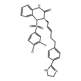 O=C1Nc2ccccc2N(S(=O)(=O)c2ccc(Cl)c(Cl)c2)[C@@H]1C/C=C/CCc1ccc(C2=NCCN2)cc1